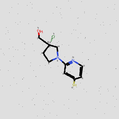 OC[C@]1(Cl)CCN(c2cc(S)ccn2)C1